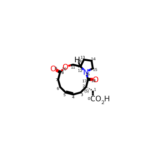 O=C(O)C[C@@H]1CC=CCCC(=O)OC[C@@H]2CCCN2C1=O